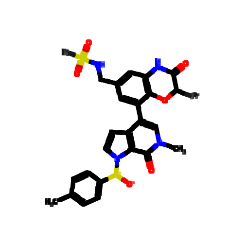 CCS(=O)(=O)NCc1cc2c(c(-c3cn(C)c(=O)c4c3ccn4[S+]([O-])c3ccc(C)cc3)c1)OC(C(C)C)C(=O)N2